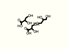 O=C(O)C(O)CO.O=C(O)C(O)CO.OCC(O)CO